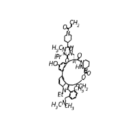 C=CC(=O)N1CCC(C(=O)N(C)[C@H](C(=O)NC[C@H]2Cc3cc(O)cc(c3)C3=CC4C(=C(c5ccccc5CN(C)C)N(CC)C4C=C3)CC(C)(C)COC(=O)[C@@H]3CCCN(N3)C2=O)C(C)C)CC1